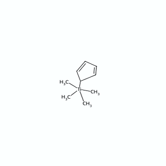 [CH3][Ti]([CH3])([CH3])([CH3])[CH]1C=CC=C1